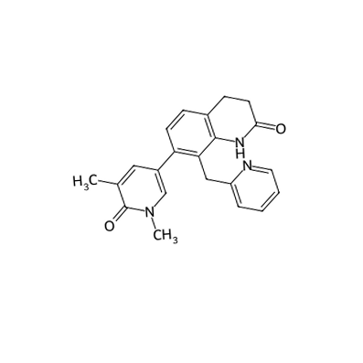 Cc1cc(-c2ccc3c(c2Cc2ccccn2)NC(=O)CC3)cn(C)c1=O